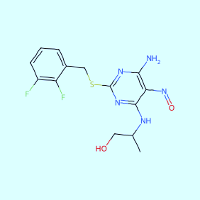 CC(CO)Nc1nc(SCc2cccc(F)c2F)nc(N)c1N=O